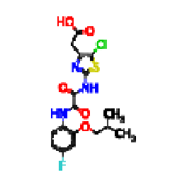 CC(C)COc1cc(F)ccc1NC(=O)C(=O)Nc1nc(CC(=O)O)c(Cl)s1